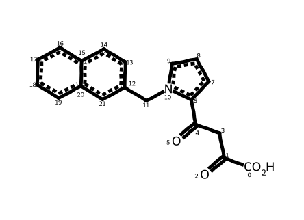 O=C(O)C(=O)CC(=O)c1cccn1Cc1ccc2ccccc2c1